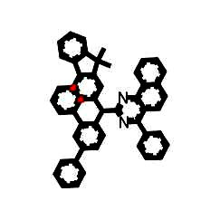 CC1(C)c2ccccc2-c2ccc(C(c3nc(-c4ccccc4)c4ccc5ccccc5c4n3)c3ccc(-c4ccccc4)cc3-c3ccccc3)cc21